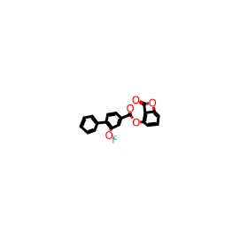 O=C(Oc1cccc2c1C(=O)O2)c1ccc(-c2ccccc2)c(OF)c1